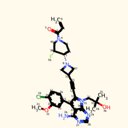 C=CC(=O)N1CC[C@H](N2CC(C#Cc3c(-c4ccc(Cl)c(OC)c4)c4c(N)ncnc4n3CC(C)(C)O)C2)[C@H](F)C1